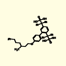 CCC(CC)(c1ccc(C(CC)(CC)P(=O)(O)O)c(-c2ccc(OCCC(C)CCCC(C)C)cc2)c1)P(=O)(O)O